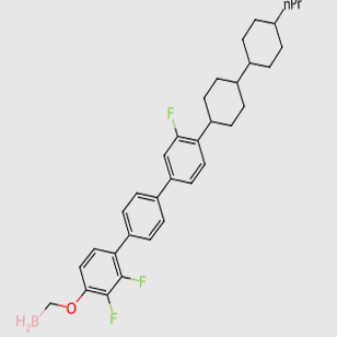 BCOc1ccc(-c2ccc(-c3ccc(C4CCC(C5CCC(CCC)CC5)CC4)c(F)c3)cc2)c(F)c1F